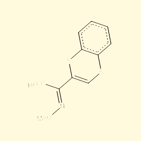 CO/N=C(\C(=O)O)C1=CSc2ccccc2S1